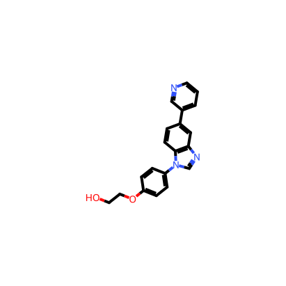 OCCOc1ccc(-n2cnc3cc(-c4cccnc4)ccc32)cc1